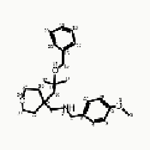 COc1ccc(CNCC2(CC(C)(C)OCc3ccccc3)CCOCC2)cc1